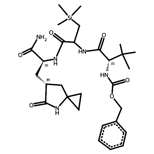 CC(C)(C)[C@H](NC(=O)OCc1ccccc1)C(=O)NC(C[Si](C)(C)C)C(=O)N[C@@H](C[C@@H]1CC2(CC2)NC1=O)C(N)=O